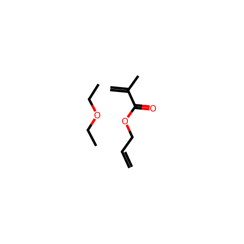 C=CCOC(=O)C(=C)C.CCOCC